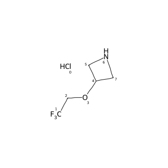 Cl.FC(F)(F)COC1CNC1